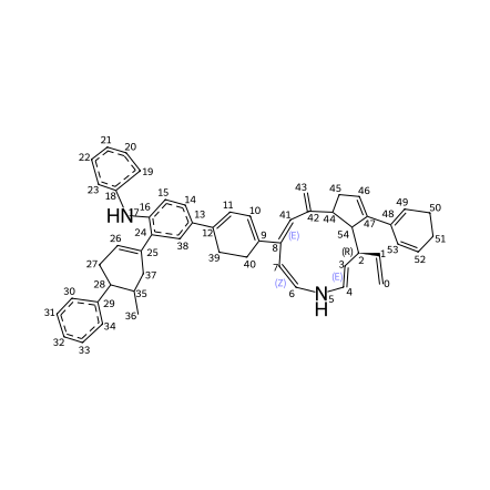 C=C[C@H]1/C=C/N/C=C\C(C2=CC=C(c3ccc(Nc4ccccc4)c(C4=CCC(c5ccccc5)C(C)C4)c3)CC2)=C/C(=C)C2CC=C(C3=CCCC=C3)C21